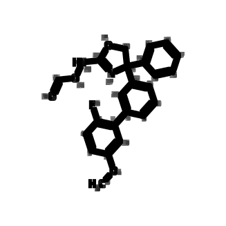 COc1ccc(F)c(-c2cccc(C3(c4ccccc4)COC(NOC=O)=N3)c2)c1